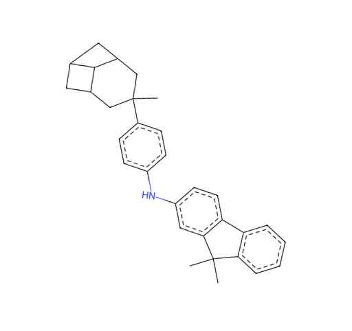 CC1(c2ccc(Nc3ccc4c(c3)C(C)(C)c3ccccc3-4)cc2)CC2CC3CC(C1)C32